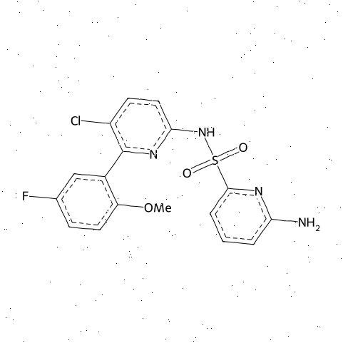 COc1ccc(F)cc1-c1nc(NS(=O)(=O)c2cccc(N)n2)ccc1Cl